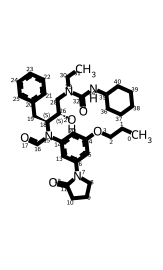 CCCOc1cc(N2CCCC2=O)cc(N(C=O)[C@@H](Cc2ccccc2)[C@@H](O)CN(CC)C(=O)NC2CCCCC2)c1